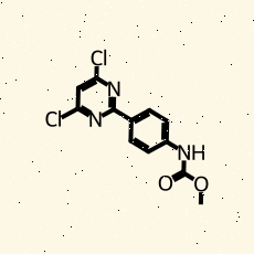 COC(=O)Nc1ccc(-c2nc(Cl)cc(Cl)n2)cc1